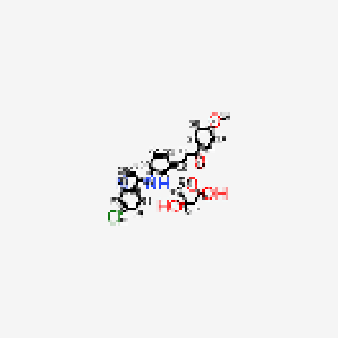 CC.CC(C)(O)CC(=O)O.COc1ccc(C(=O)/C=C/c2cccc(Nc3ccnc4cc(Cl)ccc34)c2)cc1